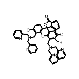 O=C1OC2(c3ccc(O)c(CN(Cc4ccccn4)Cc4ccccn4)c3Oc3c2cc(Cl)c(O)c3CN(Cc2ccccn2)Cc2ccccn2)c2c(Cl)cccc21